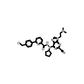 CN(C)CCn1cnc2c(N(NC(=O)c3cccc(-c4ccc(CCl)cc4)n3)C3CCCC3)nc(C#N)nc21